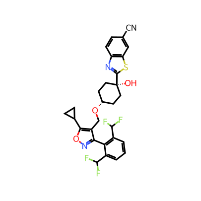 N#Cc1ccc2nc([C@]3(O)CC[C@@H](OCc4c(-c5c(C(F)F)cccc5C(F)F)noc4C4CC4)CC3)sc2c1